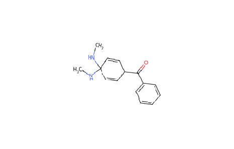 CNC1(NC)C=CC(C(=O)c2ccccc2)C=C1